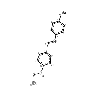 CCCCc1ccc(N=Nc2ccc(OC[C@@H](C)CC)cc2)cc1